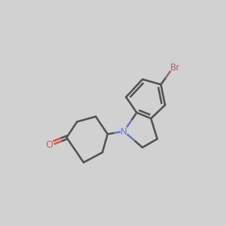 O=C1CCC(N2CCc3cc(Br)ccc32)CC1